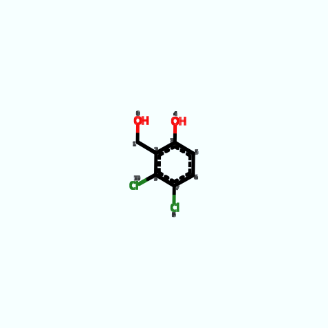 OCc1c(O)ccc(Cl)c1Cl